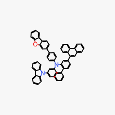 c1ccc(-c2ccc(-c3cc4ccccc4c4ccccc34)cc2N(c2ccc(-c3ccc4c(c3)oc3ccccc34)cc2)c2cccc(-n3c4ccccc4c4ccccc43)c2)cc1